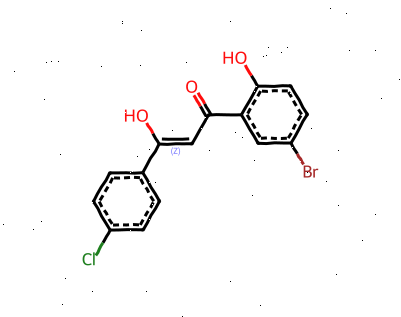 O=C(/C=C(\O)c1ccc(Cl)cc1)c1cc(Br)ccc1O